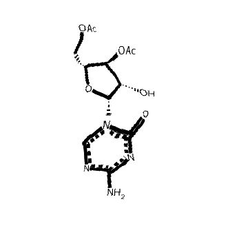 CC(=O)OC[C@H]1O[C@@H](n2cnc(N)nc2=O)[C@@H](O)[C@@H]1OC(C)=O